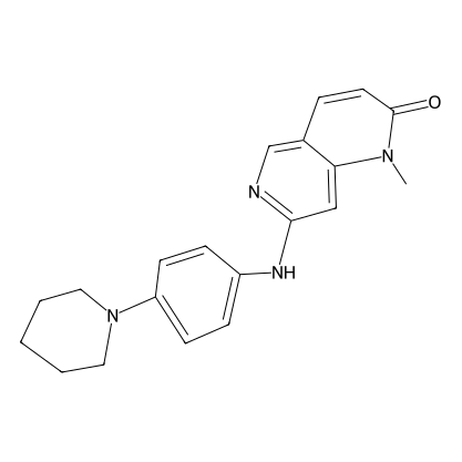 Cn1c(=O)ccc2cnc(Nc3ccc(N4CCCCC4)cc3)cc21